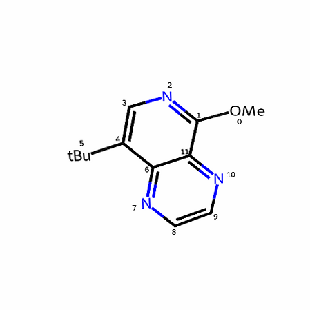 COc1ncc(C(C)(C)C)c2nccnc12